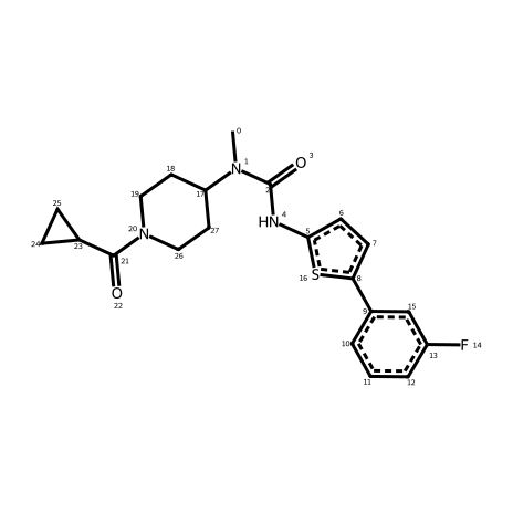 CN(C(=O)Nc1ccc(-c2cccc(F)c2)s1)C1CCN(C(=O)C2CC2)CC1